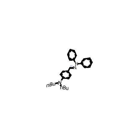 CCCCN(CCCC)c1ccc(/C=N/N(c2ccccc2)c2ccccc2)cc1